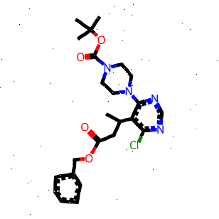 CC(CC(=O)OCc1ccccc1)c1c(Cl)ncnc1N1CCN(C(=O)OC(C)(C)C)CC1